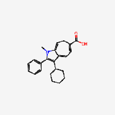 Cn1c(-c2ccccc2)c(C2CCCCC2)c2c1=CCC(C(=O)O)=CC=2